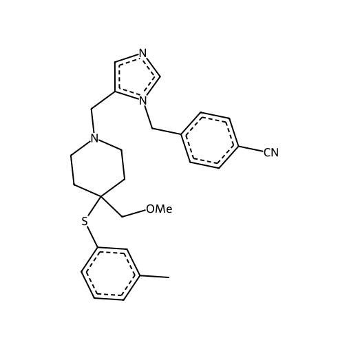 COCC1(Sc2cccc(C)c2)CCN(Cc2cncn2Cc2ccc(C#N)cc2)CC1